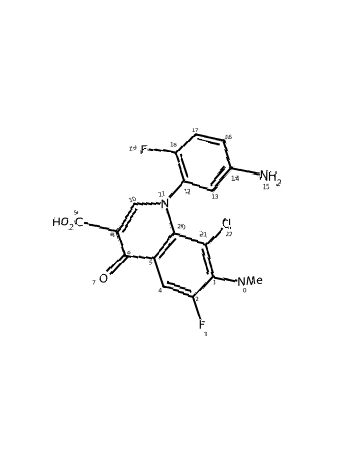 CNc1c(F)cc2c(=O)c(C(=O)O)cn(-c3cc(N)ccc3F)c2c1Cl